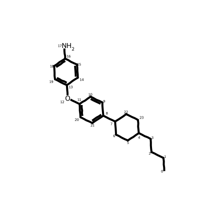 CCCCC1CCC(c2ccc(Oc3ccc(N)cc3)cc2)CC1